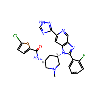 CN1C[C@H](NC(=O)c2ccc(Cl)s2)C[C@H](n2c(-c3ccccc3F)nc3cnc(-c4nc[nH]n4)cc32)C1